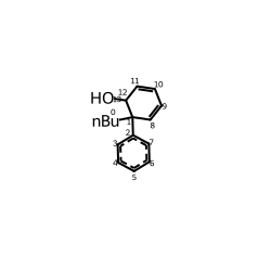 CCCCC1(c2ccccc2)C=CC=CC1O